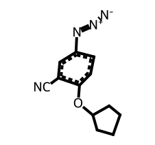 N#Cc1cc(N=[N+]=[N-])ccc1OC1CCCC1